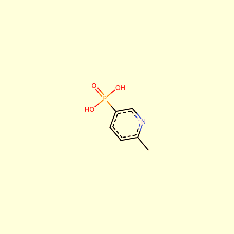 Cc1ccc(P(=O)(O)O)cn1